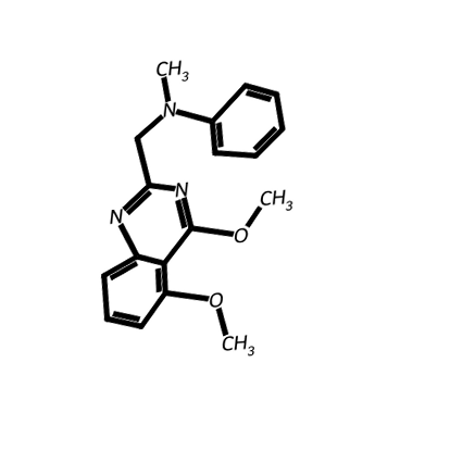 COc1cccc2nc(CN(C)c3ccccc3)nc(OC)c12